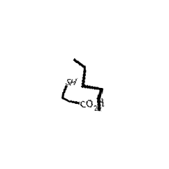 CCCCC.O=C(O)CS